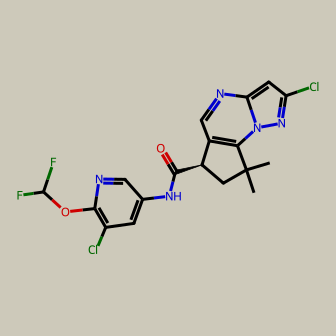 CC1(C)C[C@@H](C(=O)Nc2cnc(OC(F)F)c(Cl)c2)c2cnc3cc(Cl)nn3c21